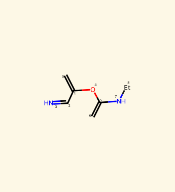 C=C(C=N)OC(=C)NCC